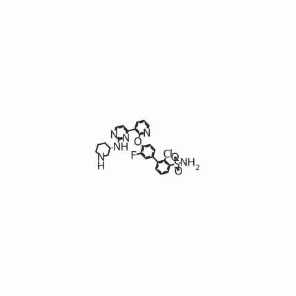 NS(=O)(=O)c1cccc(-c2ccc(Oc3ncccc3-c3ccnc(N[C@H]4CCCNC4)n3)c(F)c2)c1Cl